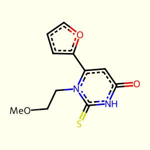 COCCn1c(-c2ccco2)cc(=O)[nH]c1=S